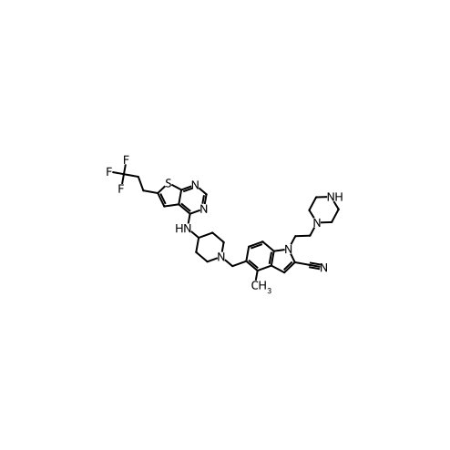 Cc1c(CN2CCC(Nc3ncnc4sc(CCC(F)(F)F)cc34)CC2)ccc2c1cc(C#N)n2CCN1CCNCC1